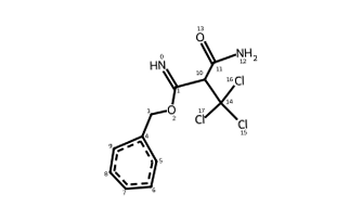 N=C(OCc1ccccc1)C(C(N)=O)C(Cl)(Cl)Cl